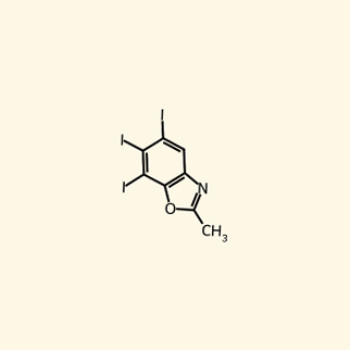 Cc1nc2cc(I)c(I)c(I)c2o1